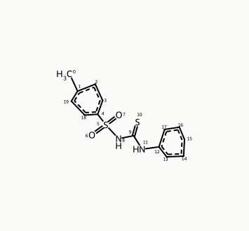 Cc1ccc(S(=O)(=O)NC(=S)Nc2ccccc2)cc1